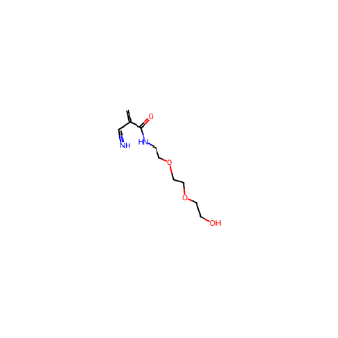 C=C(C=N)C(=O)NCCOCCOCCO